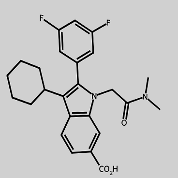 CN(C)C(=O)Cn1c(-c2cc(F)cc(F)c2)c(C2CCCCC2)c2ccc(C(=O)O)cc21